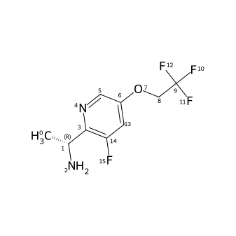 C[C@@H](N)c1ncc(OCC(F)(F)F)cc1F